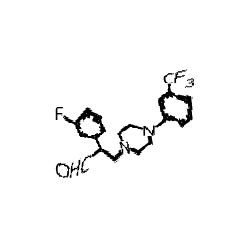 O=CC(CN1CCN(c2cccc(C(F)(F)F)c2)CC1)c1cccc(F)c1